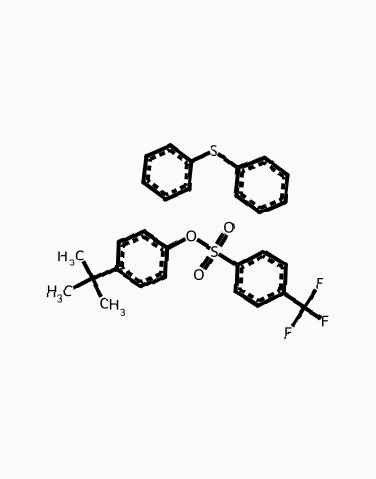 CC(C)(C)c1ccc(OS(=O)(=O)c2ccc(C(F)(F)F)cc2)cc1.c1ccc(Sc2ccccc2)cc1